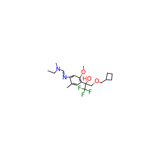 CCN(C)C=Nc1cc(OC)c(C(O)(COCC2CCC2)C(F)(F)F)cc1C